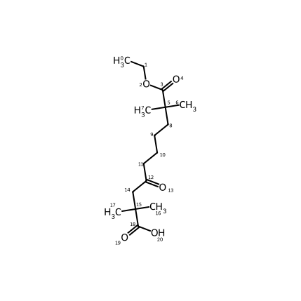 CCOC(=O)C(C)(C)CCCCC(=O)CC(C)(C)C(=O)O